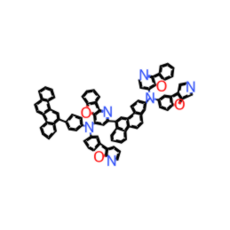 c1ccc2c(c1)ccc1c3ccccc3c(-c3ccc(N(c4ccc5oc6ncccc6c5c4)c4cc(-c5cc6c7ccc(N(c8ccc9oc%10cnccc%10c9c8)c8ccnc9c8oc8ccccc89)cc7ccc6c6ccccc56)nc5c4oc4ccccc45)cc3)cc21